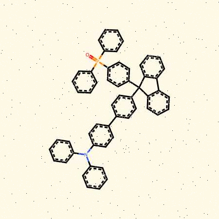 O=P(c1ccccc1)(c1ccccc1)c1ccc(C2(c3ccc(-c4ccc(N(c5ccccc5)c5ccccc5)cc4)cc3)c3ccccc3-c3ccccc32)cc1